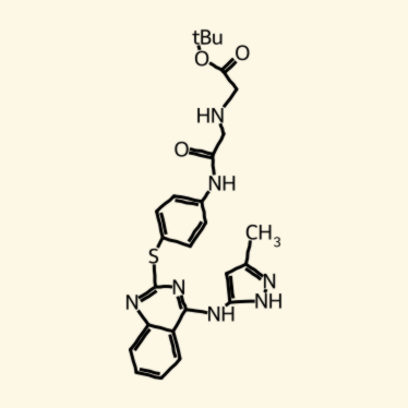 Cc1cc(Nc2nc(Sc3ccc(NC(=O)CNCC(=O)OC(C)(C)C)cc3)nc3ccccc23)[nH]n1